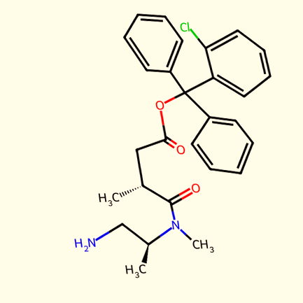 C[C@H](CC(=O)OC(c1ccccc1)(c1ccccc1)c1ccccc1Cl)C(=O)N(C)[C@@H](C)CN